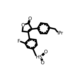 CC(C)Cc1ccc(C2=C(c3ccc(C[SH](=O)=O)cc3F)COC2=O)cc1